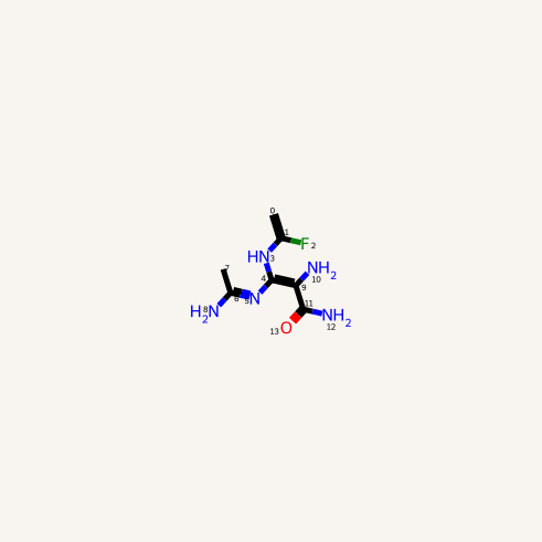 C=C(F)NC(/N=C(\C)N)=C(\N)C(N)=O